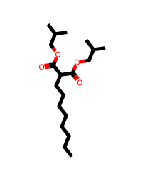 CCCCCCCCC(C(=O)OCC(C)C)C(=O)OCC(C)C